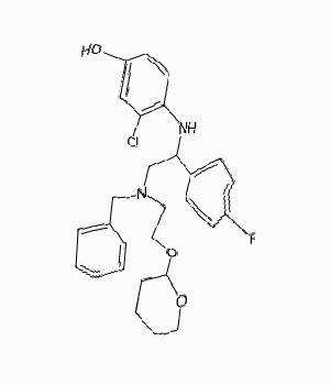 Oc1ccc(NC(CN(CCOC2CCCCO2)Cc2ccccc2)c2ccc(F)cc2)c(Cl)c1